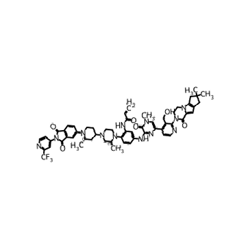 C=CC(=O)Nc1cc(Nc2nc(-c3ccnc(N4CCn5c(cc6c5CC(C)(C)C6)C4=O)c3CO)cn(C)c2=O)ccc1N1CCN(C2CCN(c3ccc4c(c3)C(=O)N(c3ccnc(C(F)(F)F)c3)C4=O)[C@@H](C)C2)C[C@@H]1C